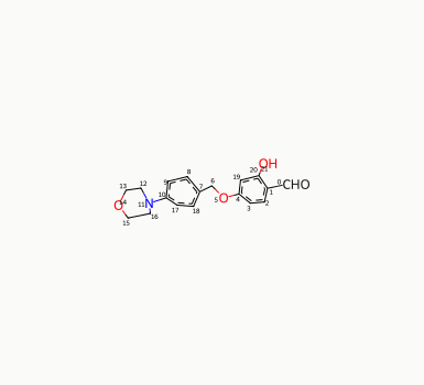 O=Cc1ccc(OCc2ccc(N3CCOCC3)cc2)cc1O